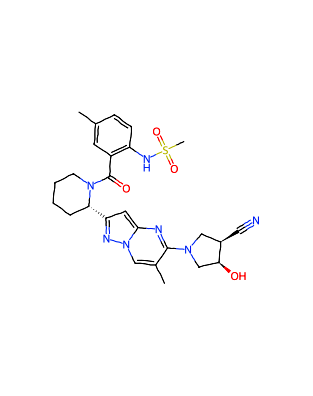 Cc1ccc(NS(C)(=O)=O)c(C(=O)N2CCCC[C@H]2c2cc3nc(N4C[C@@H](C#N)[C@@H](O)C4)c(C)cn3n2)c1